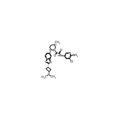 CCc1cc(NC(=O)C(=O)N2C[C@@H](C)CC[C@@H]2c2ccc3sc([C@H]4C[C@H](N(C)C)C4)nc3c2)cnc1N